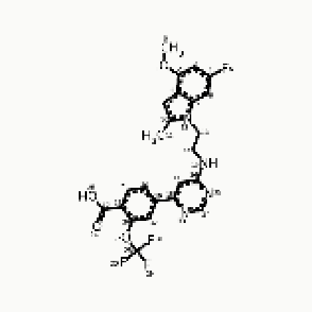 COc1cc(F)cc2c1cc(C)n2CCNc1cc(-c2ccc(C(=O)O)c(OC(F)(F)F)c2)ncn1